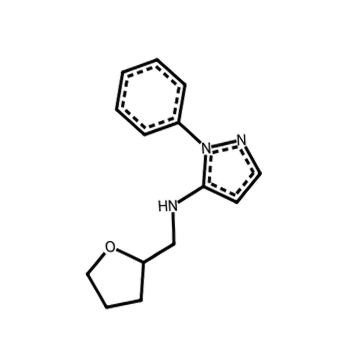 c1ccc(-n2nccc2NCC2CCCO2)cc1